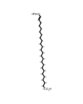 CCCCCC=CCCCCCCCCCCCCCCCCCCCCCCC(=O)O